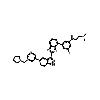 CN(C)CCNc1cc(F)cc(-c2cccc3[nH]c(-c4n[nH]c5ccc(-c6cncc(CN7CCCC7)c6)nc45)nc23)c1